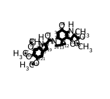 COC(=O)[C@]1(C)NC2=C(C1=O)[C@@]13CC1CN(C(=O)c1cc4cc(OC)c(OC)c(OC)c4[nH]1)C3=CC2=O